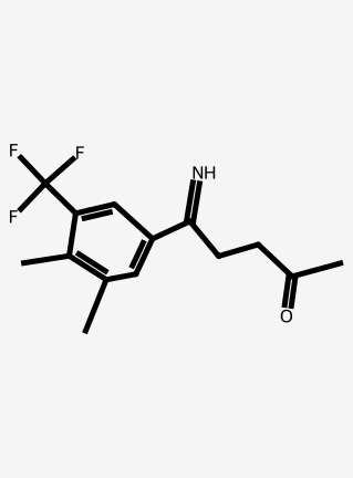 CC(=O)CCC(=N)c1cc(C)c(C)c(C(F)(F)F)c1